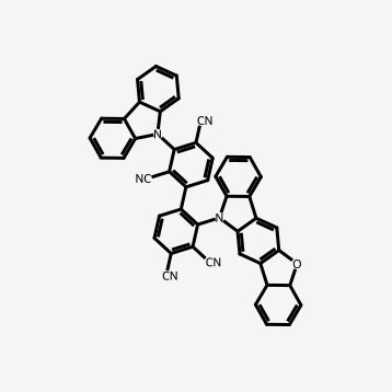 N#Cc1ccc(-c2ccc(C#N)c(-n3c4ccccc4c4ccccc43)c2C#N)c(-n2c3ccccc3c3cc4c(cc32)C2C=CC=CC2O4)c1C#N